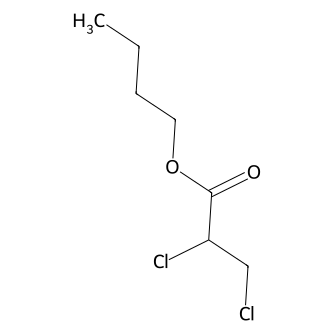 CCCCOC(=O)C(Cl)CCl